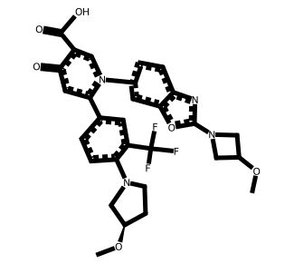 COC1CN(c2nc3ccc(-n4cc(C(=O)O)c(=O)cc4-c4ccc(N5CC[C@@H](OC)C5)c(C(F)(F)F)c4)cc3o2)C1